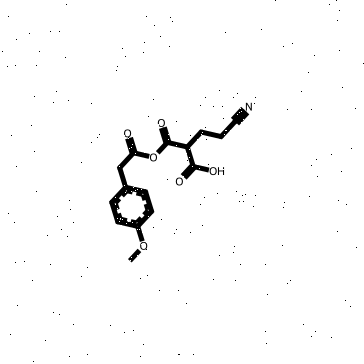 COc1ccc(CC(=O)OC(=O)C(CCC#N)C(=O)O)cc1